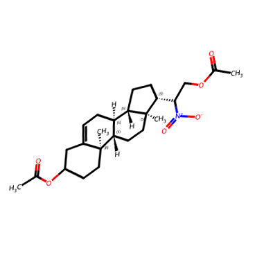 CC(=O)OCC([C@H]1CC[C@H]2[C@@H]3CC=C4CC(OC(C)=O)CC[C@]4(C)[C@H]3CC[C@]12C)[N+](=O)[O-]